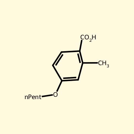 CCCCCOc1ccc(C(=O)O)c(C)c1